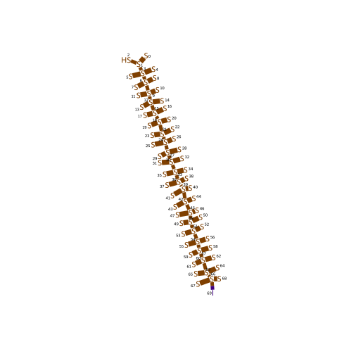 S=S(S)S(=S)(=S)S(=S)(=S)S(=S)(=S)S(=S)(=S)S(=S)(=S)S(=S)(=S)S(=S)(=S)S(=S)(=S)S(=S)(=S)S(=S)(=S)S(=S)(=S)S(=S)(=S)S(=S)(=S)S(=S)(=S)S(=S)(=S)S(=S)(=S)S(=S)(=S)S(=S)(=S)S(=S)(=S)S(=S)(=S)S(=S)(=S)S(=S)(=S)I